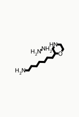 NCCCCCCCC1CNCCO1.NN